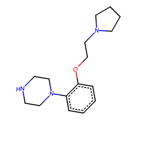 c1ccc(N2CCNCC2)c(OCCN2CCCC2)c1